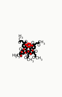 CC(=O)CCC(=O)Oc1ccccc1C(OC(c1ccccc1OC(=O)CCC(C)=O)(c1ccccc1OC(=O)CCC(C)=O)c1ccccc1OC(=O)CCC(C)=O)(c1ccccc1OC(=O)CCC(C)=O)c1ccccc1OC(=O)CCC(C)=O